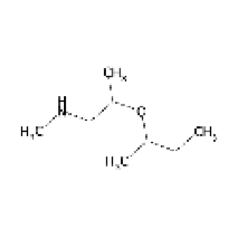 CCC(C)OC(C)CNC